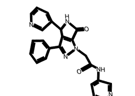 O=C(Cn1nc(-c2ccccc2)c2c1C(=O)NC2c1cccnc1)Nc1cccnc1